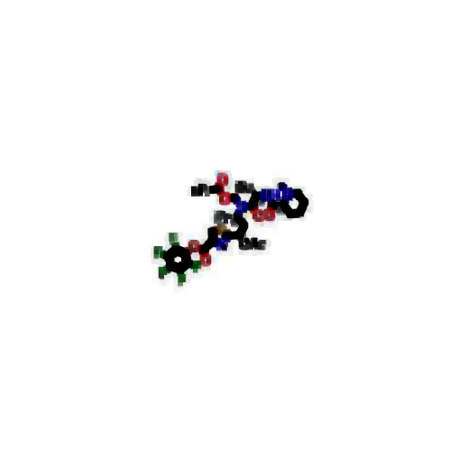 CCCC(=O)OCN(C(=O)[C@@H](NC(=O)[C@H]1CCCCN1C)C(C)CC)[C@H](C[C@@H](OC(C)=O)c1nc(C(=O)Oc2c(F)c(F)c(F)c(F)c2F)cs1)C(C)C